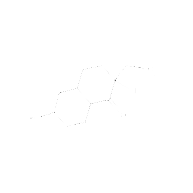 CCOC(=O)CC1(C)CCC2CC(O)CCC2C1=O